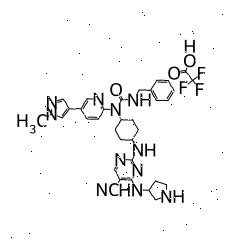 Cn1cc(-c2ccc(N(C(=O)NCc3ccccc3)[C@H]3CC[C@H](Nc4ncc(C#N)c(NC5CCNC5)n4)CC3)nc2)cn1.O=C(O)C(F)(F)F